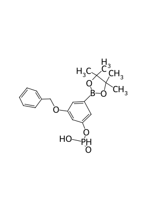 CC1(C)OB(c2cc(OCc3ccccc3)cc(O[PH](=O)O)c2)OC1(C)C